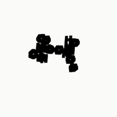 c1ccc(-c2ccc(C3=NC(c4ccccc4)NC(c4ccc(-c5ccc(-n6c(-c7cccc8ccccc78)nc7c8ccccc8c8ccncc8c76)cc5)cc4)=N3)cc2)cc1